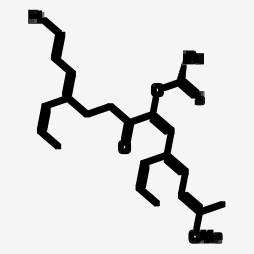 C\C=C/C(=C\C=C\CC)CCC(=O)\C(=C/C(/C=C\C)=C/C=C(\C)OC)OC(=S)[C@H](C)CC